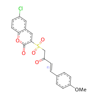 COc1ccc(/C=C/C(=O)CS(=O)(=O)c2cc3cc(Cl)ccc3oc2=O)cc1